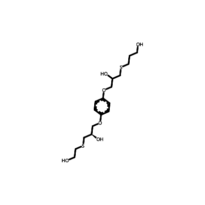 OCCCSCC(O)COc1ccc(OC[C@@H](O)CSCCO)cc1